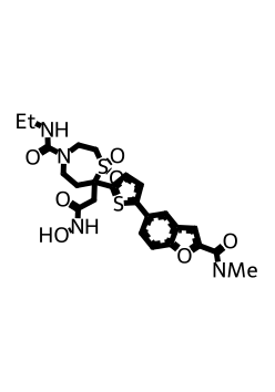 CCNC(=O)N1CCC(CC(=O)NO)(c2ccc(-c3ccc4oc(C(=O)NC)cc4c3)s2)S(=O)(=O)CC1